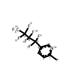 [CH2]c1ccc(C(F)(F)C(F)(F)C(F)(F)C(F)(F)F)cn1